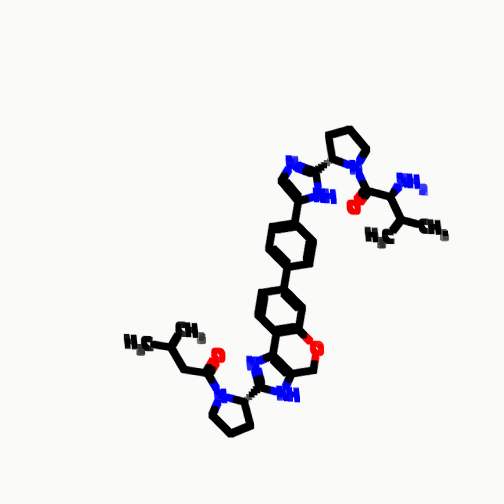 CC(C)CC(=O)N1CCC[C@H]1c1nc2c([nH]1)COc1cc(-c3ccc(-c4cnc([C@@H]5CCCN5C(=O)[C@@H](N)C(C)C)[nH]4)cc3)ccc1-2